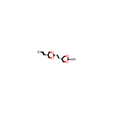 CCC=C[C@H]1CO[C@H](CC[C@H]2CO[C@H](CCC)OC2)OC1